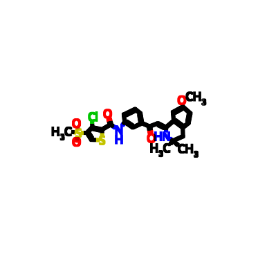 COc1ccc2c(c1)C(=CC(=O)c1cccc(NC(=O)c3scc(S(C)(=O)=O)c3Cl)c1)NC(C)(C)C2